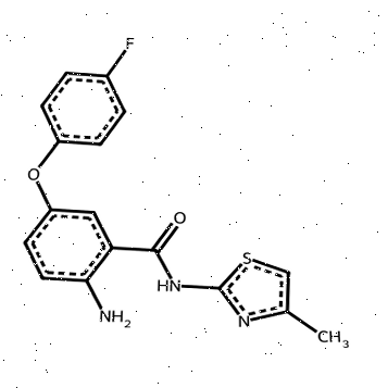 Cc1csc(NC(=O)c2cc(Oc3ccc(F)cc3)ccc2N)n1